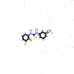 Fc1cccc(NC(=S)Nc2cccc(C(F)(F)F)c2)c1F